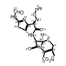 CCCO/N=C(/C(=O)NC1C(=O)N2C(C(=O)O)=C(C)CS[C@H]12)c1csc(NC=O)n1